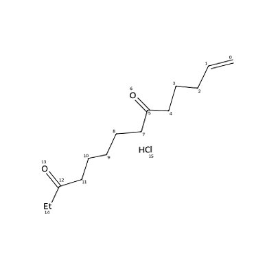 C=CCCCC(=O)CCCCCC(=O)CC.Cl